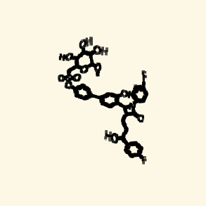 COC1OC(CS(=O)(=O)Oc2ccc(-c3ccc(C4C(CCC(O)c5ccc(F)cc5)C(=O)N4c4ccc(F)cc4)c(O)c3)cc2)C(O)C(O)C1O